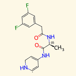 C[C@H](NC(=O)Cc1cc(F)cc(F)c1)C(=O)NC1=CCN[C]=C1